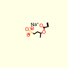 C=CC(=O)OC(C)CCS(=O)(=O)[O-].[Na+]